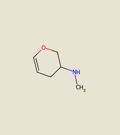 CNC1CC=COC1